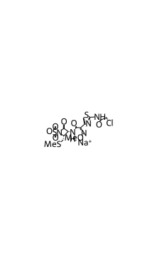 CON=C(C(=O)N[C@H]1C(=O)N(S(=O)(=O)[O-])[C@H]1CSC)c1csc(NC(=O)CCl)n1.[Na+]